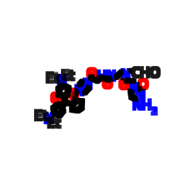 CCN(CC)c1ccc2c(-c3ccccc3C(=O)N3CCN(C(=O)CCC(=O)NCCN(CC=O)C(=O)Cn4ccc(N)nc4=O)CC3)c3ccc(=[N+](CC)CC)cc-3oc2c1